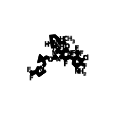 C[C@@H]1Oc2nc(-c3cc(N)c(F)c(Cl)c3C(F)(F)F)c(F)c3nc(OCC4(CN5CCC(=C(F)F)C5)CC4)nc(c23)N2C[C@H]3CC[C@H](N3)[C@@H]12